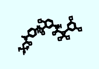 CN(C(=O)CC(F)(F)F)c1ccc(NC(=O)c2cc(NC(=O)C3C(c4cc(Cl)cc(Cl)c4)C3(Cl)Cl)ccc2Cl)cc1